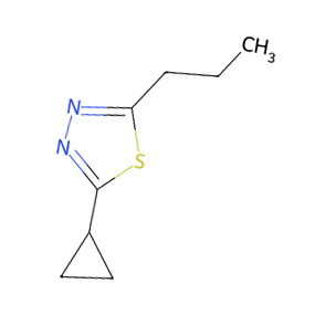 CCCc1nnc(C2CC2)s1